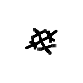 CC(C)OP(=O)(OC(C)C)C(C(C)C)(C(C)C)P(=O)(O)O